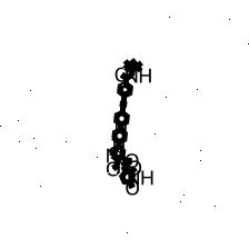 CC1(C)CC(C)(C)C1NC(=O)c1ccc(C#CC2CCN(C3CCN(c4cnc5c(c4)C(=O)N(C4CCC(=O)NC4=O)C5=O)CC3)CC2)cc1